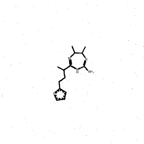 CC(CCc1cccs1)C1=NC(C)C(C)N=C(N)N1